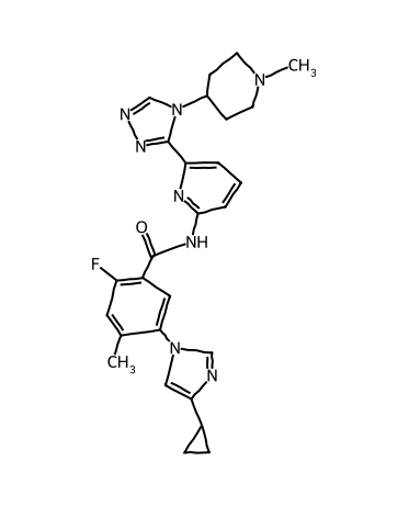 Cc1cc(F)c(C(=O)Nc2cccc(-c3nncn3C3CCN(C)CC3)n2)cc1-n1cnc(C2CC2)c1